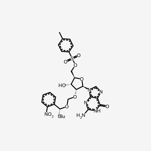 Cc1ccc(S(=O)(=O)OC[C@H]2O[C@@H](n3cnc4c(=O)[nH]c(N)nc43)[C@H](OCO[C@@H](c3ccccc3[N+](=O)[O-])C(C)(C)C)[C@@H]2O)cc1